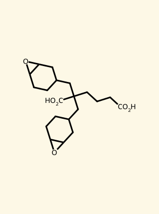 O=C(O)CCCC(CC1CCC2OC2C1)(CC1CCC2OC2C1)C(=O)O